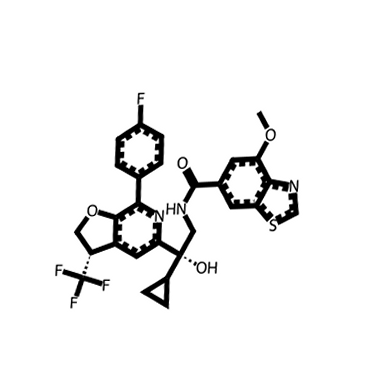 COc1cc(C(=O)NC[C@](O)(c2cc3c(c(-c4ccc(F)cc4)n2)OC[C@H]3C(F)(F)F)C2CC2)cc2scnc12